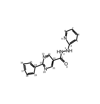 O=C(NNc1ccccn1)c1cnc(-c2ccccc2)nc1